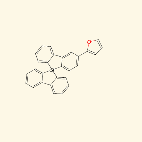 c1coc(-c2ccc3c(c2)-c2ccccc2[Si]32c3ccccc3-c3ccccc32)c1